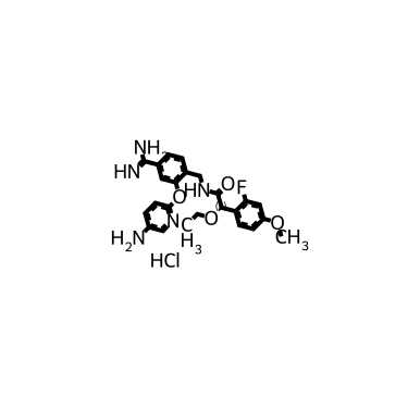 CCO[C@H](C(=O)NCc1ccc(C(=N)N)cc1Oc1ccc(N)cn1)c1ccc(OC)cc1F.Cl